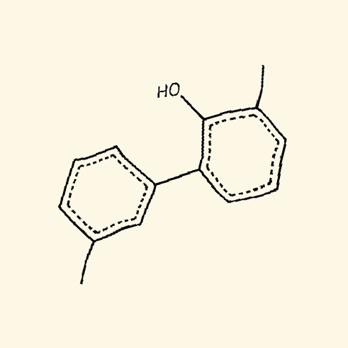 Cc1cccc(-c2cccc(C)c2O)c1